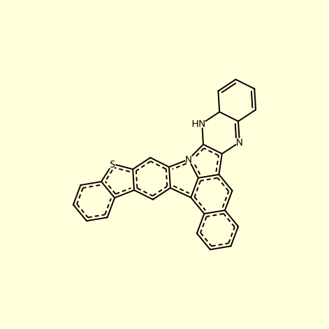 C1=CC2=Nc3c(n4c5cc6sc7ccccc7c6cc5c5c6ccccc6cc3c54)NC2C=C1